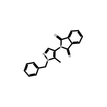 Cc1c(N2C(=O)c3ccccc3C2=O)cnn1Cc1ccccc1